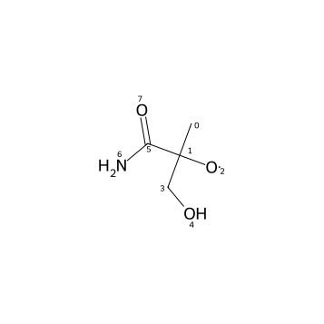 CC([O])(CO)C(N)=O